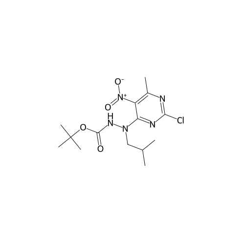 Cc1nc(Cl)nc(N(CC(C)C)NC(=O)OC(C)(C)C)c1[N+](=O)[O-]